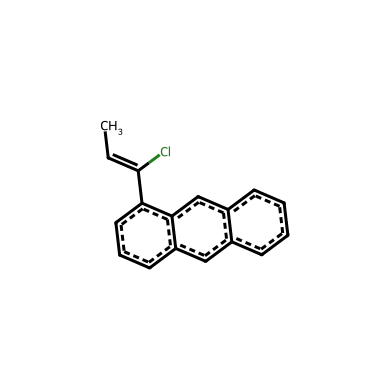 C/C=C(\Cl)c1cccc2cc3ccccc3cc12